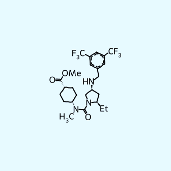 CC[C@@H]1C[C@H](NCc2cc(C(F)(F)F)cc(C(F)(F)F)c2)CN1C(=O)N(C)[C@H]1CC[C@@H](C(=O)OC)CC1